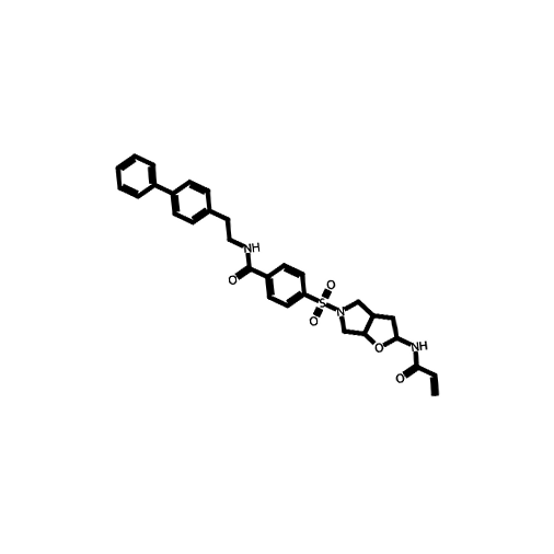 C=CC(=O)NC1CC2CN(S(=O)(=O)c3ccc(C(=O)NCCc4ccc(-c5ccccc5)cc4)cc3)CC2O1